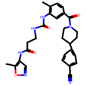 Cc1ccc(C(=O)N2CCC(c3ccc(C#N)cc3)CC2)cc1NC(=O)NCCC(=O)Nc1cnoc1C